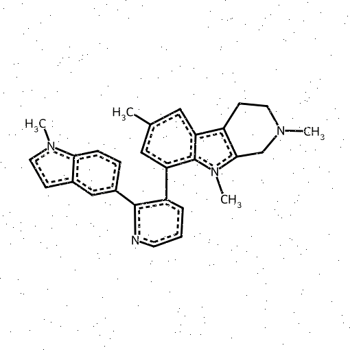 Cc1cc(-c2cccnc2-c2ccc3c(ccn3C)c2)c2c(c1)c1c(n2C)CN(C)CC1